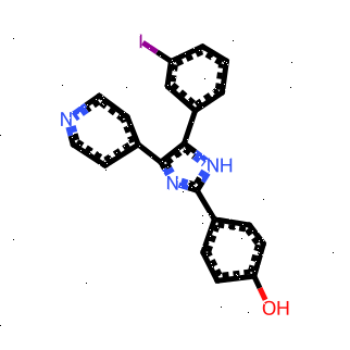 Oc1ccc(-c2nc(-c3ccncc3)c(-c3cccc(I)c3)[nH]2)cc1